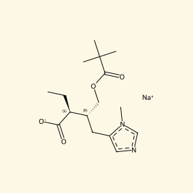 CC[C@H](C(=O)[O-])[C@H](COC(=O)C(C)(C)C)Cc1cncn1C.[Na+]